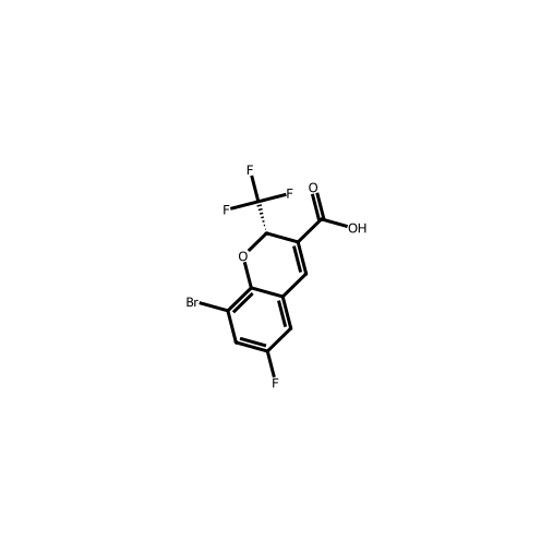 O=C(O)C1=Cc2cc(F)cc(Br)c2O[C@@H]1C(F)(F)F